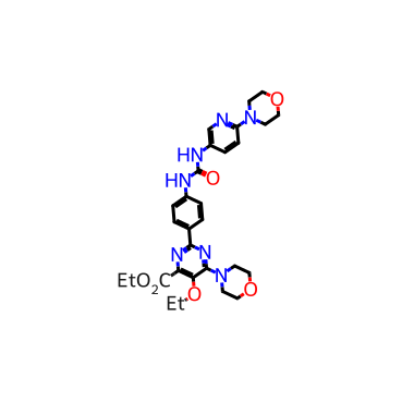 CCOC(=O)c1nc(-c2ccc(NC(=O)Nc3ccc(N4CCOCC4)nc3)cc2)nc(N2CCOCC2)c1OCC